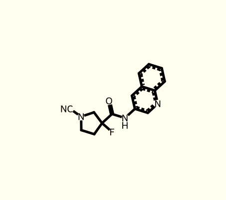 N#CN1CCC(F)(C(=O)Nc2cnc3ccccc3c2)C1